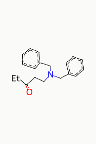 CCC(=O)CCN(Cc1ccccc1)Cc1ccccc1